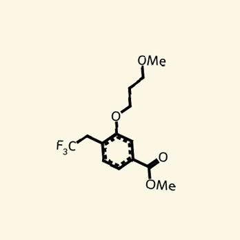 COCCCOc1cc(C(=O)OC)ccc1CC(F)(F)F